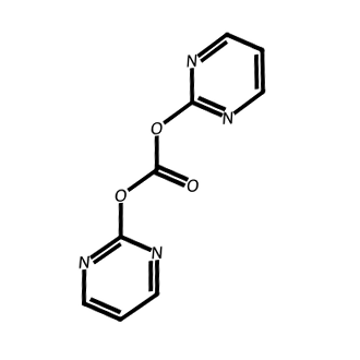 O=C(Oc1ncccn1)Oc1ncccn1